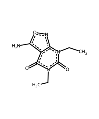 CCn1c(=O)c2c(N)onc2n(CC)c1=O